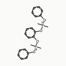 C[PH](C)(Oc1ccccc1)Oc1ccccc1O[PH](C)(C)Oc1ccccc1